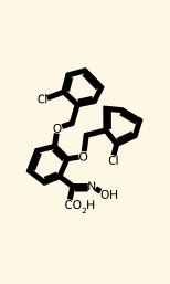 O=C(O)/C(=N\O)c1cccc(OCc2ccccc2Cl)c1OCc1ccccc1Cl